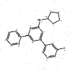 Brc1cncc(-c2cc(NC3CCCC3)nc(-c3ccccn3)c2)c1